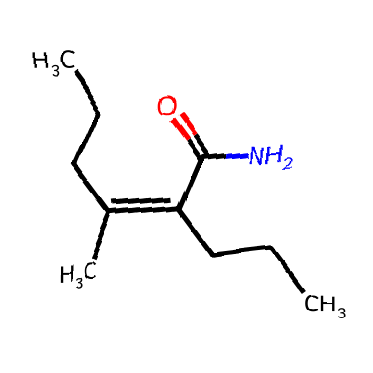 CCCC(C)=C(CCC)C(N)=O